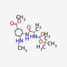 CCNc1ccc(C(=O)OC)cc1NC(=O)C(C)NC(=O)OC(C)(C)C